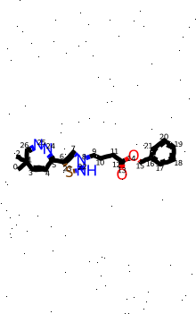 CC1(C)C=CC(C2=CN(CCCC(=O)OCc3ccccc3)NS2)=NN=C1